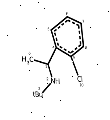 CC(NC(C)(C)C)c1ccccc1Cl